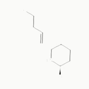 CCCC=C[C@@H]1CCC[C@@H](C)N1.Cl